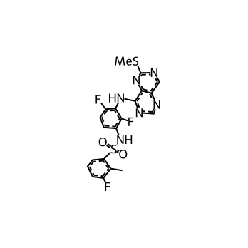 CSc1ncc2ncnc(Nc3c(F)ccc(NS(=O)(=O)c4cccc(F)c4C)c3F)c2n1